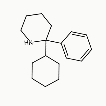 c1ccc(C2(C3CCCCC3)CCCCN2)cc1